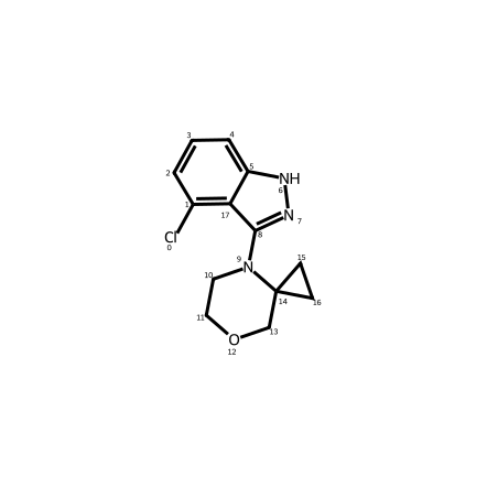 Clc1cccc2[nH]nc(N3CCOCC34CC4)c12